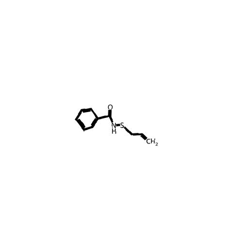 C=CCSNC(=O)c1ccccc1